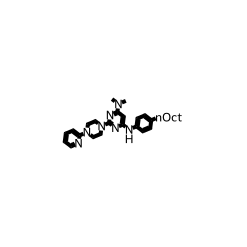 CCCCCCCCc1ccc(Nc2cc(N(C)C)nc(N3CCN(c4ccccn4)CC3)n2)cc1